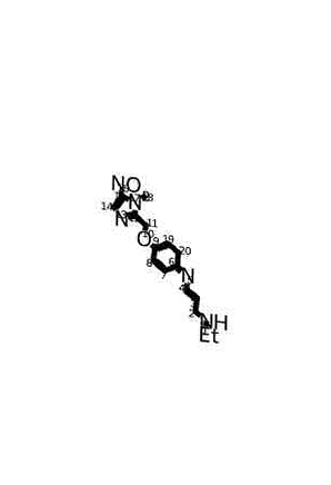 CCNCC=CN=C1C=CC(OCc2ncc([N+](=O)[O-])n2C)=CC1